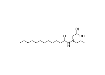 CCCCCCCCCCCC(=O)NN(CCC)CC(O)O